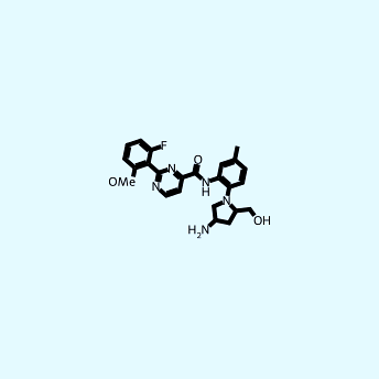 COc1cccc(F)c1-c1nccc(C(=O)Nc2cc(C)ccc2N2CC(N)CC2CO)n1